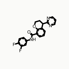 O=C(Nc1ccc(F)c(F)c1)c1cccc2c1OCCC2c1ncccn1